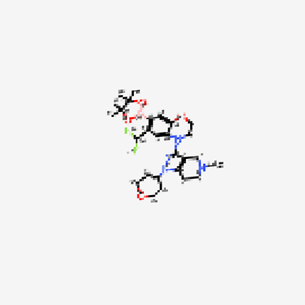 CC(=O)N1CCc2c(c(N3CCOc4cc(B5OC(C)(C)C(C)(C)O5)c(C(F)F)cc43)nn2C2CCOCC2)C1